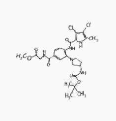 COC(=O)CNC(=O)c1ccc(NC(=O)c2[nH]c(C)c(Cl)c2Cl)c(N2CC[C@@H](NC(=O)OC(C)(C)C)C2)c1